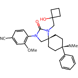 CN[C@]1(c2ccccc2)CC[C@@]2(CC1)CN(c1ccc(C#N)cc1OC)C(=O)N2CC1(O)CCC1